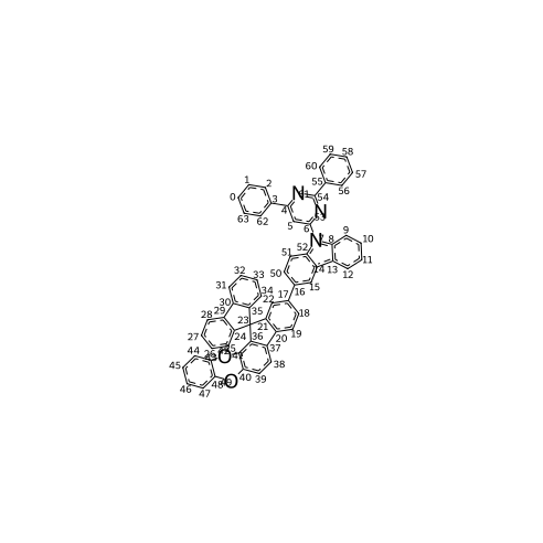 c1ccc(-c2cc(-n3c4ccccc4c4cc(-c5ccc6c(c5)C5(c7ccccc7-c7ccccc75)c5c-6ccc6c5Oc5ccccc5O6)ccc43)nc(-c3ccccc3)n2)cc1